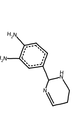 Nc1ccc(C2N=CCCN2)cc1N